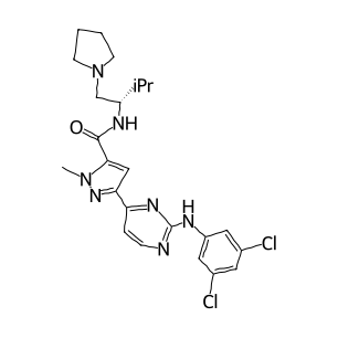 CC(C)[C@@H](CN1CCCC1)NC(=O)c1cc(-c2ccnc(Nc3cc(Cl)cc(Cl)c3)n2)nn1C